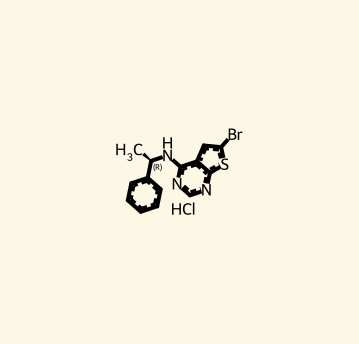 C[C@@H](Nc1ncnc2sc(Br)cc12)c1ccccc1.Cl